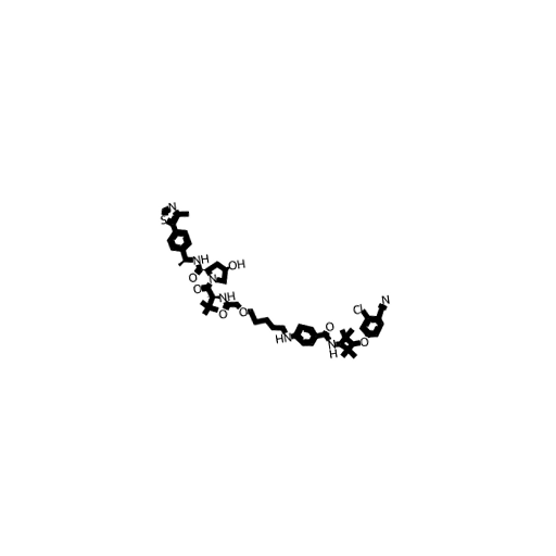 Cc1ncsc1-c1ccc([C@H](C)NC(=O)[C@@H]2C[C@@H](O)CN2C(=O)[C@@H](NC(=O)COCCCCCNc2ccc(C(=O)NC3C(C)(C)C(Oc4ccc(C#N)c(Cl)c4)C3(C)C)cc2)C(C)(C)C)cc1